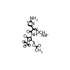 CON=C(C(=O)N[C@H]1C(=O)N(S(=O)(=O)[O-])[C@@H]1COC(C)=O)c1csc(N)n1.[Na+]